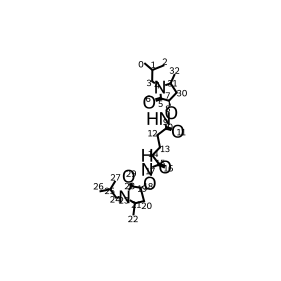 CC(C)CN1C(=O)[C@H](ONC(=O)CCCC(=O)NO[C@@H]2CC(C)N(CC(C)C)C2=O)CC1C